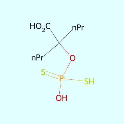 CCCC(CCC)(OP(O)(=S)S)C(=O)O